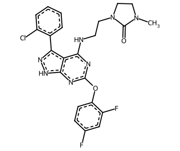 CN1CCN(CCNc2nc(Oc3ccc(F)cc3F)nc3[nH]nc(-c4ccccc4Cl)c23)C1=O